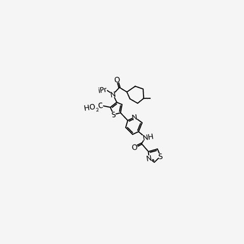 CC1CCC(C(=O)N(c2cc(-c3ccc(NC(=O)c4cscn4)cn3)sc2C(=O)O)C(C)C)CC1